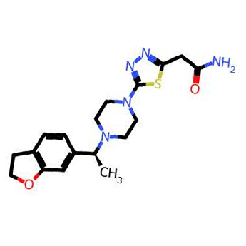 C[C@@H](c1ccc2c(c1)OCC2)N1CCN(c2nnc(CC(N)=O)s2)CC1